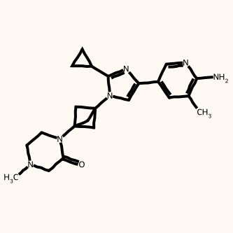 Cc1cc(-c2cn(C34CC(N5CCN(C)CC5=O)(C3)C4)c(C3CC3)n2)cnc1N